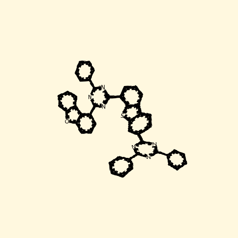 c1ccc(-c2nc(-c3ccccc3)nc(-c3ccc4c(c3)sc3c(-c5nc(-c6ccccc6)nc(-c6cccc7oc8ccccc8c67)n5)cccc34)n2)cc1